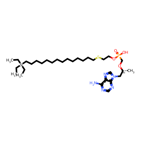 CC[Si](CC)(CC)CCCCCCCCCCCCCCSCCOP(=O)(O)CO[C@H](C)Cn1cnc2c(N)ncnc21